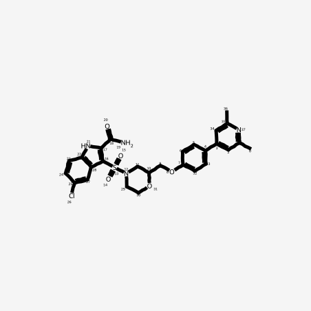 Cc1cc(-c2ccc(OCC3CN(S(=O)(=O)c4c(C(N)=O)[nH]c5ccc(Cl)cc45)CCO3)cc2)cc(C)n1